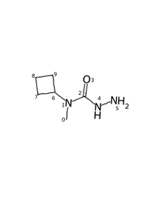 CN(C(=O)NN)C1CCC1